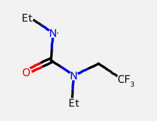 CC[N]C(=O)N(CC)CC(F)(F)F